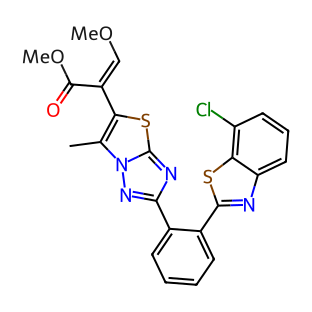 COC=C(C(=O)OC)c1sc2nc(-c3ccccc3-c3nc4cccc(Cl)c4s3)nn2c1C